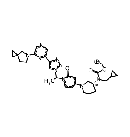 CC(n1cc(-c2cncc(N3CCC4(CC4)C3)n2)nn1)n1ccc(N2CCC[C@@H](N(CC3CC3)C(=O)OC(C)(C)C)C2)cc1=O